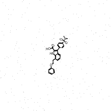 CN(C)S(=O)(=O)c1ccc(-c2c(C(=O)O)[nH]c3c(CCOc4ccccc4)cccc23)cc1